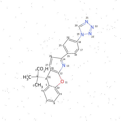 CC(C)(C(=O)O)[C@H]1c2ccccc2Oc2nc(-c3ccc(-n4cnnn4)cc3)ccc21